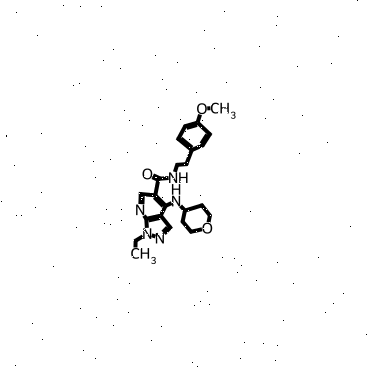 CCn1ncc2c(NC3CCOCC3)c(C(=O)NCCc3ccc(OC)cc3)cnc21